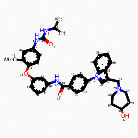 CCC(CC)NC(=O)Nc1ccc(Oc2cccc(NC(=O)c3ccc(-n4cc(CN5CCC(O)CC5)c5ccccc54)cc3)c2)c(OC)c1